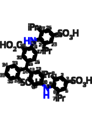 CC(C)c1cc(S(=O)(=O)O)cc(C(C)C)c1Nc1ccc(C(c2ccc(Nc3c(C(C)C)cc(S(=O)(=O)O)cc3C(C)C)c(C(=O)O)c2)c2ccccc2S(=O)(=O)O)cc1